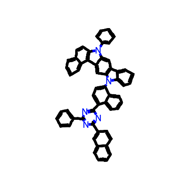 c1ccc(-c2nc(-c3ccc4ccccc4c3)nc(-c3ccc(-n4c5ccccc5c5cc6c(cc54)c4c5ccccc5ccc4n6-c4ccccc4)c4ccccc34)n2)cc1